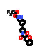 O=C(c1cc2ccccc2oc1=O)N1CCC(c2cccc(CNOC(=O)C(F)(F)F)c2)CC1